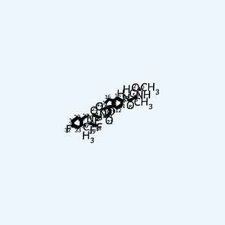 CC(=O)NC(C)(C)C(=O)Nc1ccc2c(c1)CC[C@@]21OC(=O)N(CC(=O)N(Cc2ccc(F)cc2)[C@@H](C)C(F)(F)F)C1=O